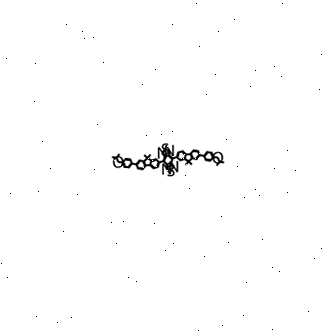 CC(C)Oc1ccc(-c2ccc3c(c2)C(C)(C)c2cc(-c4c5c(c(-c6ccc7c(c6)C(C)(C)c6cc(-c8ccc(OC(C)C)cc8)ccc6-7)c6nsnc46)N=S=N5)ccc2-3)cc1